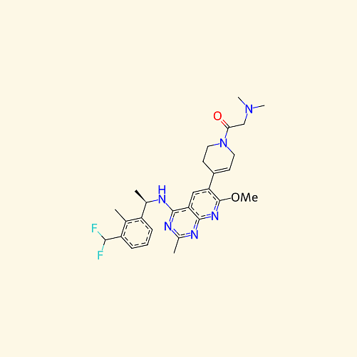 COc1nc2nc(C)nc(N[C@H](C)c3cccc(C(F)F)c3C)c2cc1C1=CCN(C(=O)CN(C)C)CC1